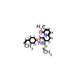 C/C=C\C1CCC(OCC2C(NSCC)CCc3ccc(C)c(=O)n32)CC1